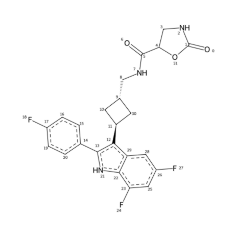 O=C1NCC(C(=O)NC[C@H]2C[C@H](c3c(-c4ccc(F)cc4)[nH]c4c(F)cc(F)cc43)C2)O1